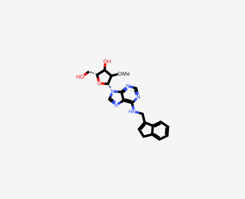 COC1C(O)[C@@H](CO)O[C@H]1n1cnc2c(NCC3=CCc4ccccc43)ncnc21